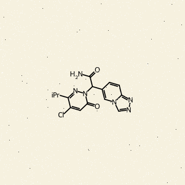 CC(C)c1nn(C(C(N)=O)c2ccc3nncn3c2)c(=O)cc1Cl